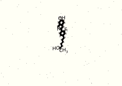 CC(O)CCC/C=C/c1ccc(-c2cc3ccc(O)cc3cn2)c(F)c1